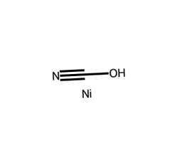 N#CO.[Ni]